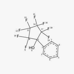 OC1(c2ccccc2)C(F)(F)C(F)(F)C(F)(F)C1(F)F